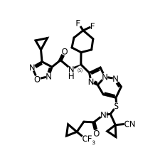 N#CC1(C(NC(=O)CC2(C(F)(F)F)CC2)Sc2cnn3cc([C@@H](NC(=O)c4nonc4C4CC4)C4CCC(F)(F)CC4)nc3c2)CC1